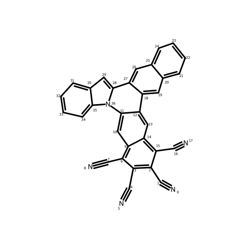 N#Cc1c(C#N)c(C#N)c2cc3c(cc2c1C#N)c1cc2ccccc2cc1c1cc2ccccc2n13